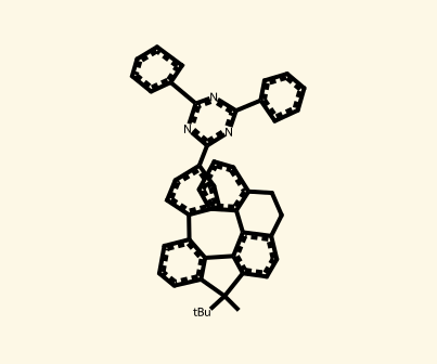 CC(C)(C)C1(C)c2cccc(-c3ccc(-c4nc(-c5ccccc5)nc(-c5ccccc5)n4)cc3)c2-c2c1ccc1c2-c2ccccc2CC1